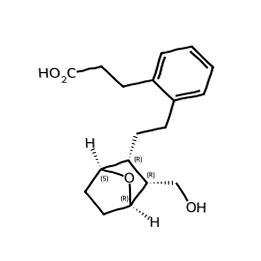 O=C(O)CCc1ccccc1CC[C@@H]1[C@H](CO)[C@H]2CC[C@@H]1O2